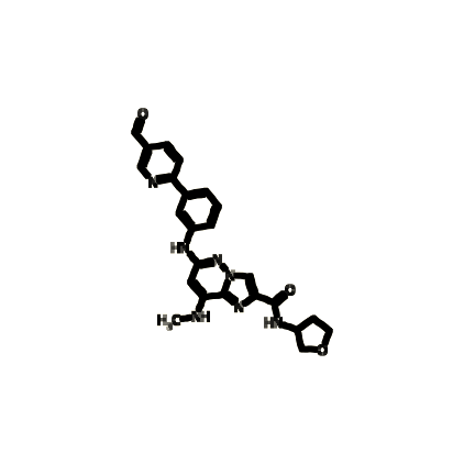 CNc1cc(Nc2cccc(-c3ccc(C=O)cn3)c2)nn2cc(C(=O)NC3CCOC3)nc12